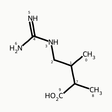 CC(CNC(=N)N)C(C)C(=O)O